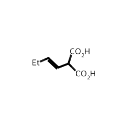 CC/C=C/C(C(=O)O)C(=O)O